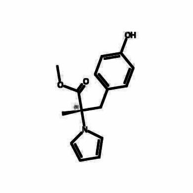 COC(=O)[C@](C)(Cc1ccc(O)cc1)n1cccc1